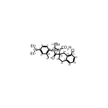 CCN(CC)c1ccc(NC(=O)[C@@]2(N(CC(C)(C)C)C(=O)O)CCc3cccc(Cl)c3C2)c(C)c1